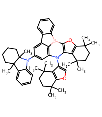 CC1(C)CCC(C)(C)c2c(N3c4cc(N5c6ccccc6C6(C)CCCCC56C)cc5c4B(c4ccccc4-5)c4oc5c(c43)C(C)(C)CCC5(C)C)coc21